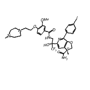 COc1cc(C(=O)NCC(O)(c2cc3c(c(-c4ccc(I)cc4)n2)OC[C@]3(C)C(N)=O)C(F)(F)F)ccc1OCCN1CCN(C)CC1